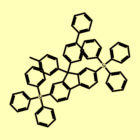 Cc1ccc(C2(c3ccc(-c4ccccc4)cc3)c3cc([Si](c4ccccc4)(c4ccccc4)c4ccccc4)ccc3-c3ccc([Si](c4ccccc4)(c4ccccc4)c4ccccc4)cc32)cc1